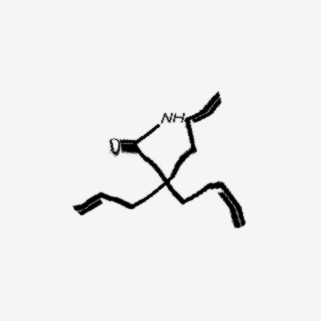 C=CCC(CC=C)(CC=C)C(N)=O